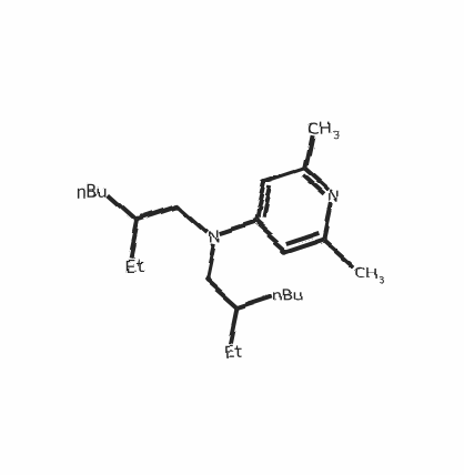 CCCCC(CC)CN(CC(CC)CCCC)c1cc(C)nc(C)c1